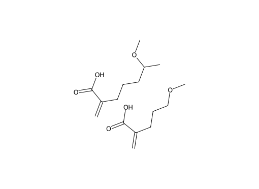 C=C(CCCC(C)OC)C(=O)O.C=C(CCCOC)C(=O)O